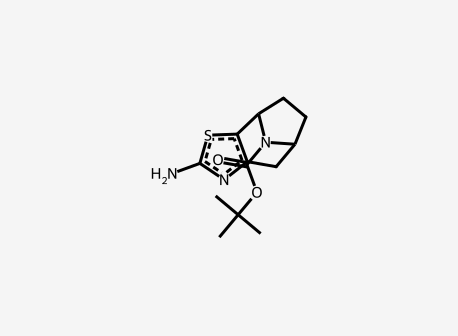 CC(C)(C)OC(=O)N1C2CCC1c1sc(N)nc1C2